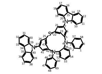 c1ccc(-n2c3cc(-n4c5ccccc5c5ccccc54)cc(c3)sc3cc(-n4c5ccccc5c5ccccc54)cc(c3)n(-c3ccccc3)c3ccccc32)cc1